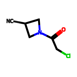 N#CC1CN(C(=O)CCl)C1